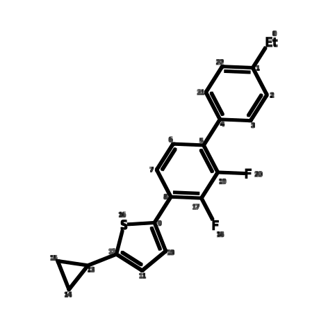 CCc1ccc(-c2ccc(-c3ccc(C4CC4)s3)c(F)c2F)cc1